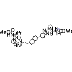 COO/C=N\[C@H](C(=O)N1CCC[C@H]1c1nc2cc(-c3ccc4cc(CCc5c[nH]c([C@@H]6CCCN6C(=O)[C@@H](NC(=O)OC)C(C)C)n5)ccc4c3)ccc2[nH]1)C(C)C